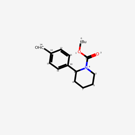 CC(C)(C)OC(=O)N1CCCCC1c1ccc(C=O)cc1